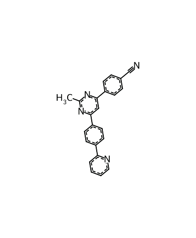 Cc1nc(-c2ccc(C#N)cc2)cc(-c2ccc(-c3ccccn3)cc2)n1